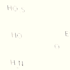 CCOC(O)(CN)CS(=O)(=O)O